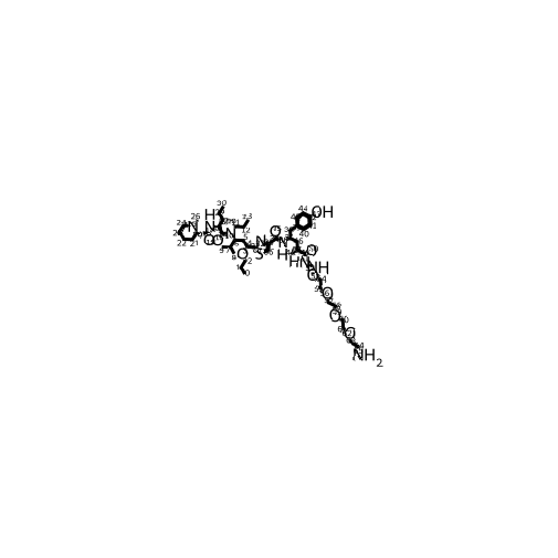 CCCOC(CC(C(C)C)N(CCC)C(=O)[C@@H](NC(=O)[C@H]1CCCCN1C)[C@@H](C)CC)c1nc(C(=O)NC(Cc2ccc(O)cc2)C[C@H](C)C(=O)NNOCCOCCOCCOCCN)cs1